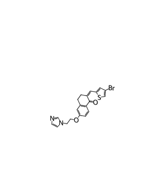 O=C1C(=Cc2cc(Br)cs2)CCc2cc(OCCn3ccnc3)ccc21